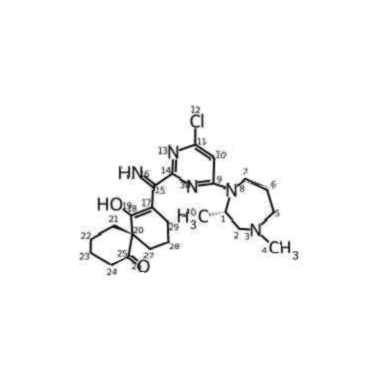 C[C@H]1CN(C)CCCN1c1cc(Cl)nc(C(=N)C2=C(O)[C@]3(CCCCC3=O)CCC2)n1